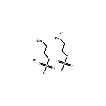 CCCCCCCCCCCCOS(=O)(=O)[O-].CCCCCCCCCCCCOS(=O)(=O)[O-].[K+].[K+]